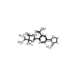 CC(C)C1(C)N=C(c2ncc(C3OCCN3C)cc2C(=O)O)NC1=O